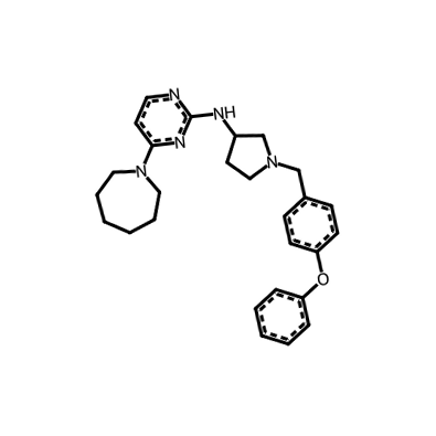 c1ccc(Oc2ccc(CN3CCC(Nc4nccc(N5CCCCCC5)n4)C3)cc2)cc1